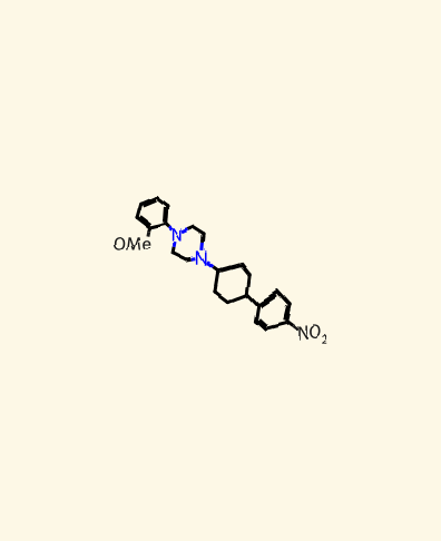 COc1ccccc1N1CCN(C2CCC(c3ccc([N+](=O)[O-])cc3)CC2)CC1